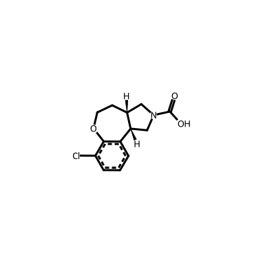 O=C(O)N1C[C@H]2CCOc3c(Cl)cccc3[C@H]2C1